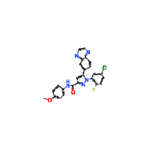 COc1ccc(NC(=O)c2cc(-c3ccc4nccnc4c3)n(-c3cc(Cl)ccc3F)n2)cc1